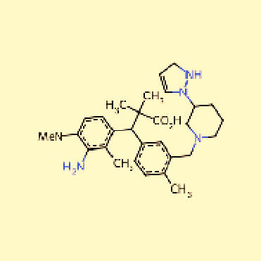 CNc1ccc(C(c2ccc(C)c(CN3CCCC(N4C=CCN4)C3)c2)C(C)(C)C(=O)O)c(C)c1N